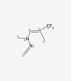 C=NN(C)/C=C(\C)C(F)(F)F